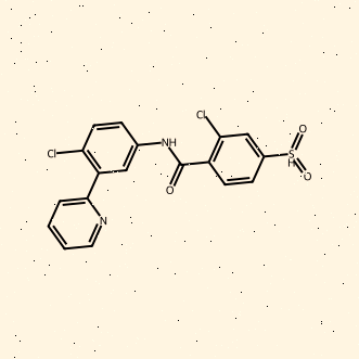 O=C(Nc1ccc(Cl)c(-c2ccccn2)c1)c1ccc([SH](=O)=O)cc1Cl